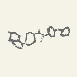 Cc1ccc2c(N3CCN(C(=O)Nc4ccc(Oc5ccccc5)cc4)CC3)ncnc2c1